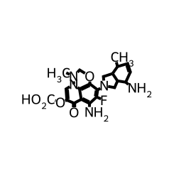 CC1C=CC(N)C2CN(c3c(F)c(N)c4c(=O)c(OC(=O)O)cn5c4c3OCN5C)CC12